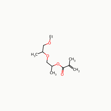 C=C(C)C(=O)OC(C)COC(C)COCC